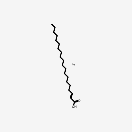 CCCCCCCCCCCCCCCCCC=CC(=O)O.[Fe]